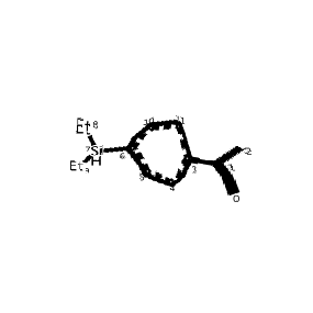 C=C(C)c1ccc([SiH](CC)CC)cc1